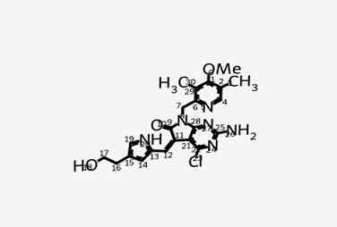 COc1c(C)cnc(CN2C(=O)/C(=C\c3cc(CCO)c[nH]3)c3c(Cl)nc(N)nc32)c1C